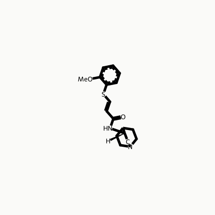 COc1ccccc1S/C=C/C(=O)N[C@H]1CN2CCC1CC2